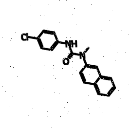 CN(C(=O)Nc1ccc(Cl)cc1)c1ccc2ccccc2c1